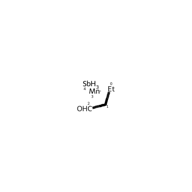 CCCC=O.[Mn].[SbH3]